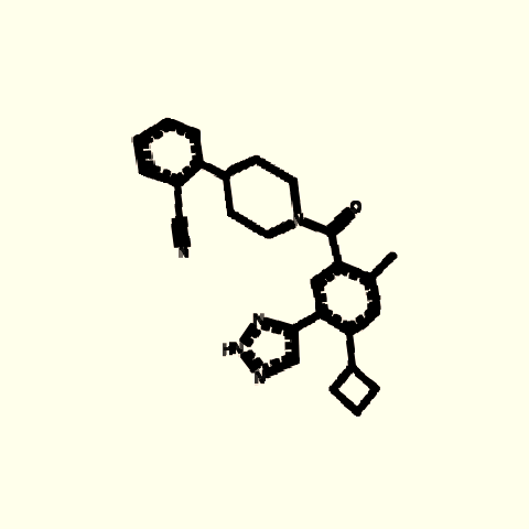 Cc1cc(C2CCC2)c(-c2cn[nH]n2)cc1C(=O)N1CCC(c2ccccc2C#N)CC1